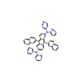 c1ccc(N(c2ccncc2)c2ccc3c(-c4ccc5ccccc5c4)c4cc(N(c5cccnc5)c5ccccn5)ccc4c(-c4ccc5ccccc5c4)c3c2)nc1